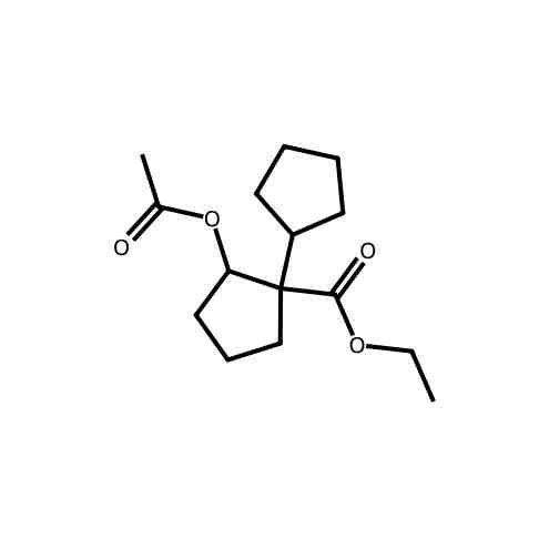 CCOC(=O)C1(C2CCCC2)CCCC1OC(C)=O